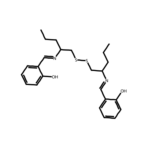 CCCC(CSSCC(CCC)N=Cc1ccccc1O)N=Cc1ccccc1O